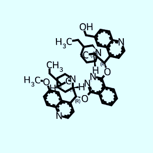 CCC1C[N@@]2CCC1C[C@H]2[C@H](Oc1nnc(O[C@H](c2ccnc3ccc(OC)cc23)[C@@H]2C[C@H]3CCN2CC3CC)c2ccccc12)c1ccnc2ccc(CO)cc12